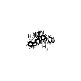 Nc1cc2c(cc1N1CCOCC1)N=CNC2(N)c1ccnc(-c2ccccc2F)c1